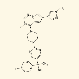 Cn1cc(-c2cc3c(N4CCN(c5ncc(C(C)(N)c6ccc(F)cc6)cn5)CC4)c(F)cnn3c2)cn1